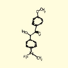 COc1ccc(C(=O)C(O)c2ccc(N(C)C)cc2)cc1